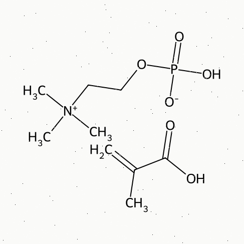 C=C(C)C(=O)O.C[N+](C)(C)CCOP(=O)([O-])O